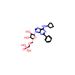 O=P(O)(O)COC[C@H]1O[C@@H](n2cnc3c(NC4CCCC4)nc(-c4ccccc4)nc32)[C@H](O)[C@@H]1O